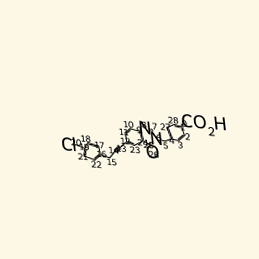 O=C(O)c1ccc(Cn2cnc3ccc(C#CCc4ccc(Cl)cc4)cc3c2=O)cc1